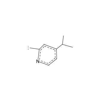 [C]c1cc(C(C)C)ccn1